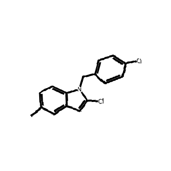 Cc1ccc2c([c]c(Cl)n2Cc2ccc(Cl)cc2)c1